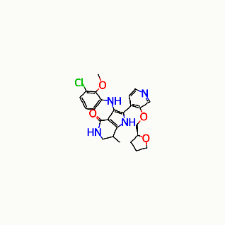 COc1c(Cl)cccc1Nc1c(-c2ccncc2OC[C@@H]2CCCO2)[nH]c2c1C(=O)NCC2C